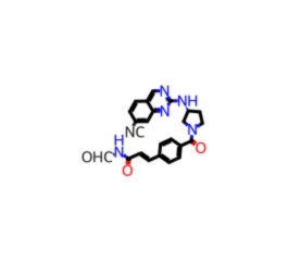 N#Cc1ccc2cnc(N[C@@H]3CCN(C(=O)c4ccc(C=CC(=O)NC=O)cc4)C3)nc2c1